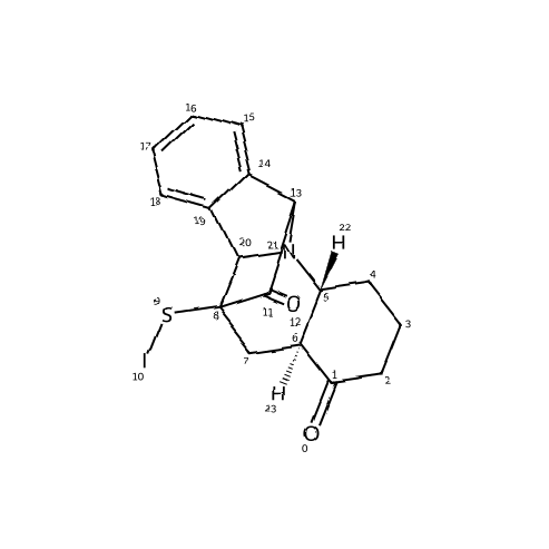 O=C1CCC[C@@H]2[C@@H]1CC1(SI)C(=O)C3c4ccccc4C1N32